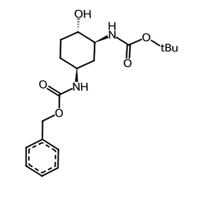 CC(C)(C)OC(=O)N[C@H]1C[C@@H](NC(=O)OCc2ccccc2)CC[C@@H]1O